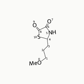 COCCCC1NC(=O)C(=O)S1